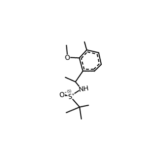 COc1c(C)cccc1C(C)N[S@+]([O-])C(C)(C)C